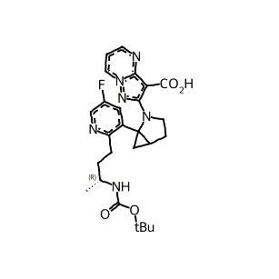 C[C@H](CCc1ncc(F)cc1C12CC1CCN2c1nn2cccnc2c1C(=O)O)NC(=O)OC(C)(C)C